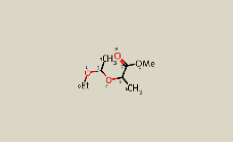 CCOC(C)OC(C)C(=O)OC